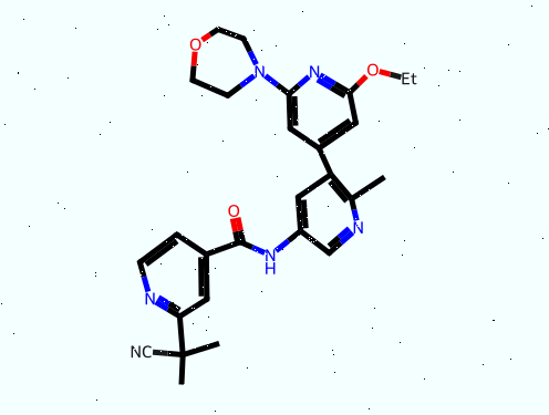 CCOc1cc(-c2cc(NC(=O)c3ccnc(C(C)(C)C#N)c3)cnc2C)cc(N2CCOCC2)n1